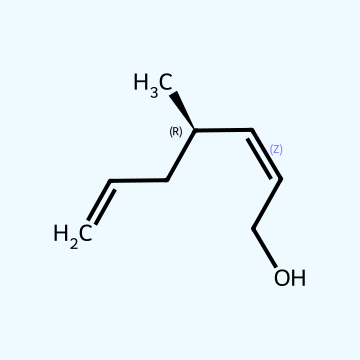 C=CC[C@@H](C)/C=C\CO